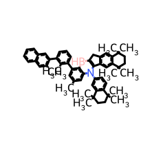 Cc1cc(-c2cccc(-c3cc4ccccc4cc3C)c2C)c2c(c1)N(c1ccc3c(c1)C(C)(C)CCC3(C)C)C1=C(B2)Cc2cc3c(cc21)C(C)(C)CCC3(C)C